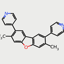 Cc1cc2oc3cc(C)c(-c4ccncc4)cc3c2cc1-c1ccncc1